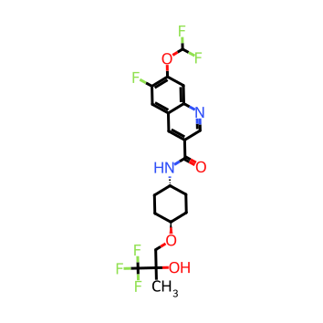 CC(O)(CO[C@H]1CC[C@H](NC(=O)c2cnc3cc(OC(F)F)c(F)cc3c2)CC1)C(F)(F)F